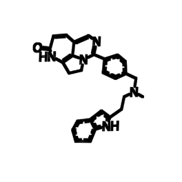 CN(CCc1cc2ccccc2[nH]1)Cc1ccc(C2=NC=C3C=CC(=O)NC4=C3N2CC4)cc1